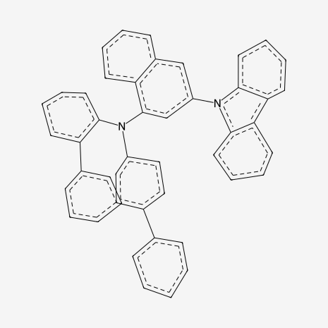 c1ccc(-c2ccc(N(c3ccccc3-c3ccccc3)c3cc(-n4c5ccccc5c5ccccc54)cc4ccccc34)cc2)cc1